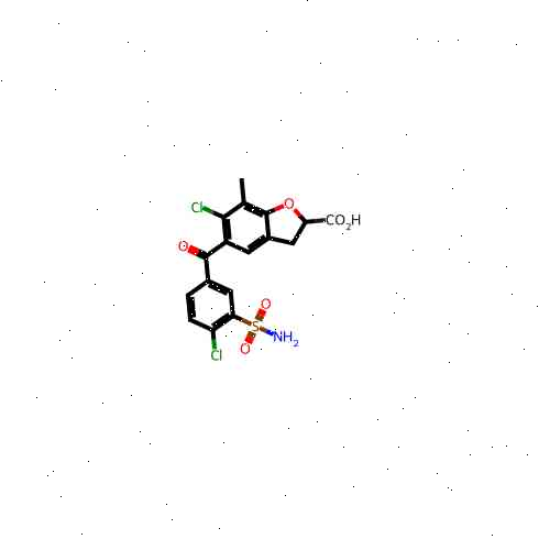 Cc1c(Cl)c(C(=O)c2ccc(Cl)c(S(N)(=O)=O)c2)cc2c1OC(C(=O)O)C2